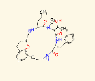 CCCC1NCC2CCc3cccc(c3O2)CCCNC(=O)[C@@H](Cc2ccccc2)NC(=O)[C@H](C(C)O)N(C)C1=O